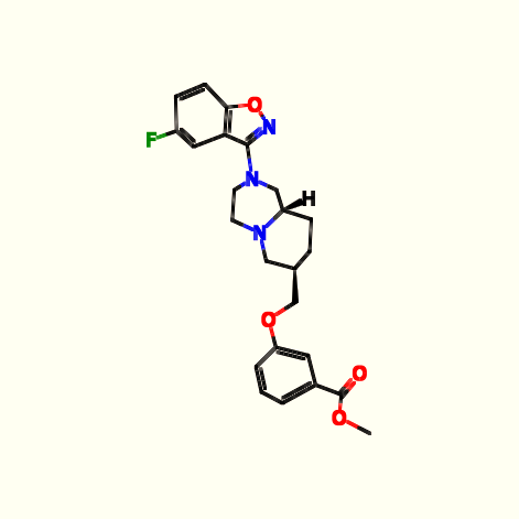 COC(=O)c1cccc(OC[C@@H]2CC[C@H]3CN(c4noc5ccc(F)cc45)CCN3C2)c1